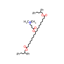 CC(C)CCC(COC(=O)CCCCCCCCCC(CCCCCCCCCC(=O)OCC(CCC(C)C)C(C)C)OC(=O)CCCN(C)C)C(C)C